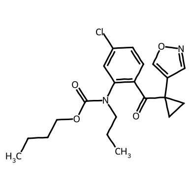 CCCCOC(=O)N(CCC)c1cc(Cl)ccc1C(=O)C1(c2cnoc2)CC1